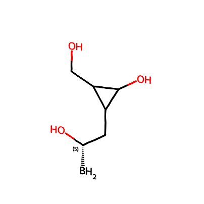 B[C@H](O)CC1C(O)C1CO